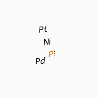 [Ni].[P].[Pd].[Pt]